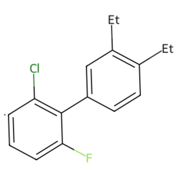 CCc1ccc(-c2c(Cl)[c]ccc2F)cc1CC